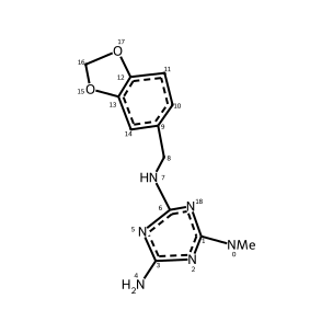 CNc1nc(N)nc(NCc2ccc3c(c2)OCO3)n1